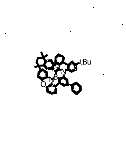 CC(C)(C)c1ccc(N2c3cc(-c4ccccc4)cc4c3B(c3c2sc2cc5c(cc32)C(C)(C)CCC5(C)C)N2c3ccccc3Oc3cccc-4c32)c(-c2ccccc2)c1